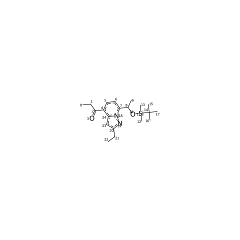 CCC(=O)c1ccc(C(C)O[Si](C)(C)C(C)(C)C)n2nc(CC)cc12